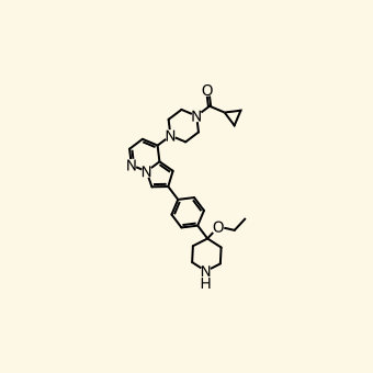 CCOC1(c2ccc(-c3cc4c(N5CCN(C(=O)C6CC6)CC5)ccnn4c3)cc2)CCNCC1